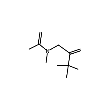 C=C(C)N(C)CC(=C)C(C)(C)C